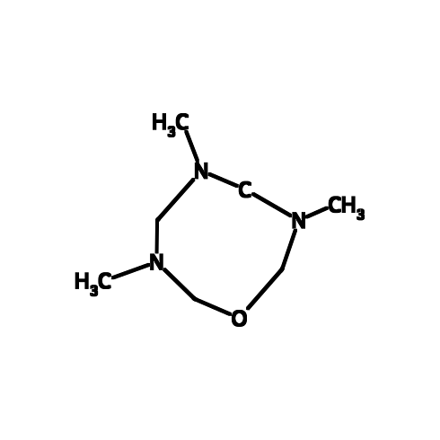 CN1COCN(C)CN(C)C1